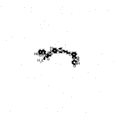 C=CCn1c(=O)c2cnc(Nc3ccc(N4CCN(CCCCCOc5cccc6c5CN(C5CCC(=O)NC5=O)C6=O)CC4)cc3)nc2n1-c1ccc2c(n1)[C@@](O)(CC)CC2